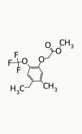 CCc1cc(OC(F)(F)F)c(OCC(=O)OC)cc1C